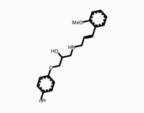 CCCc1ccc(OCC(O)CNCC=Cc2ccccc2OC)cc1